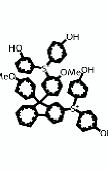 COc1ccc(C2(c3ccc(OC)c([S+](c4ccc(O)cc4)c4cccc(O)c4)c3)c3ccccc3-c3ccc([S+](c4ccc(O)cc4)c4ccc(O)cc4)cc32)cc1